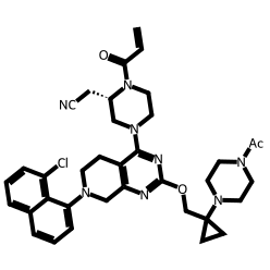 C=CC(=O)N1CCN(c2nc(OCC3(N4CCN(C(C)=O)CC4)CC3)nc3c2CCN(c2cccc4cccc(Cl)c24)C3)C[C@@H]1CC#N